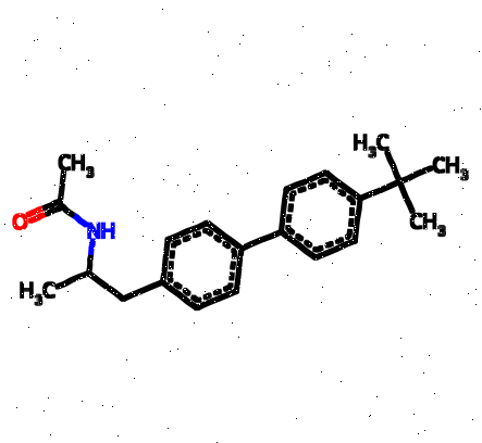 CC(=O)NC(C)Cc1ccc(-c2ccc(C(C)(C)C)cc2)cc1